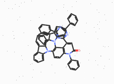 O=c1cc(-c2nc(-c3ccccc3)nc(-c3ccccc3)n2)c2c(-n3c4ccccc4c4ccccc43)c(-n3c4ccccc4c4ccccc43)ccc2n1-c1ccccc1